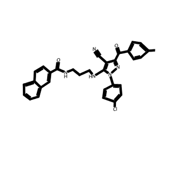 Cc1ccc(C(=O)c2nn(-c3ccc(Cl)cc3)c(NCCCNC(=O)c3ccc4ccccc4c3)c2C#N)cc1